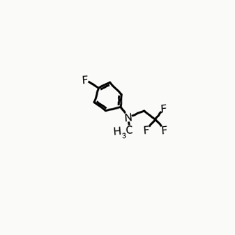 CN(CC(F)(F)F)c1ccc(F)cc1